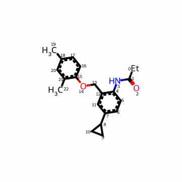 CCC(=O)Nc1ccc(C2CC2)cc1COc1ccc(C)cc1C